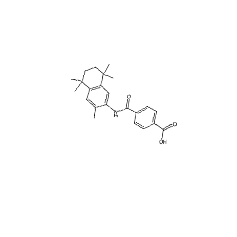 Cc1cc2c(cc1NC(=O)c1ccc(C(=O)O)cc1)C(C)(C)CCC2(C)C